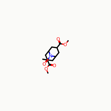 COC(=O)C1CC2CC(=O)CC(C1)N2C(C)C(=O)OC